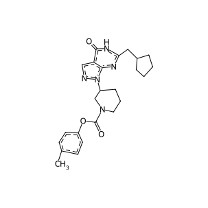 Cc1ccc(OC(=O)N2CCCC(n3ncc4c(=O)[nH]c(CC5CCCC5)nc43)C2)cc1